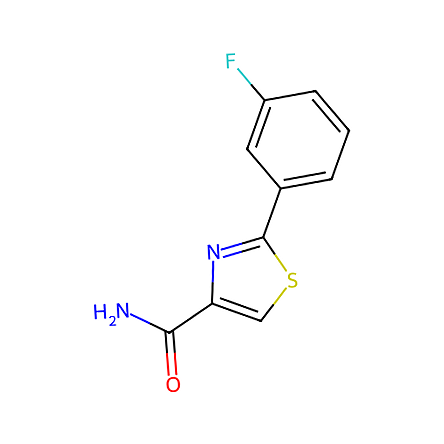 NC(=O)c1csc(-c2cccc(F)c2)n1